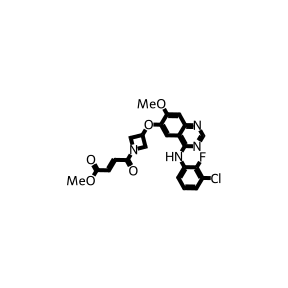 COC(=O)/C=C/C(=O)N1CC(Oc2cc3c(Nc4cccc(Cl)c4F)ncnc3cc2OC)C1